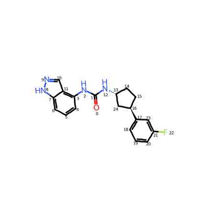 O=C(Nc1cccc2[nH]ncc12)N[C@@H]1CC[C@@H](c2cccc(F)c2)C1